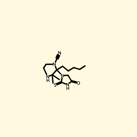 CCCCCC1(N2CC(=O)NC2=S)N(C#N)CCNC1(C)C